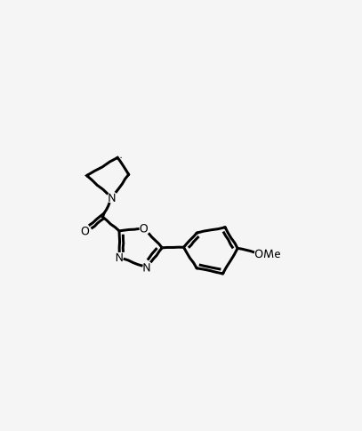 COc1ccc(-c2nnc(C(=O)N3C[CH]C3)o2)cc1